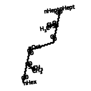 CCCCCC/C=C\COC(=O)CCCCCCCN(CCCCCCCC(=O)OC(CCCCCCCC)CCCCCCCCCCCCCC/C=C\COC(=O)CCCCCCCN(CCCCCCCC(=O)OC(CCCCCCC)CCCCCCC)C(=O)SCCN(C)C)C(=O)SCCN(C)C